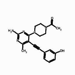 CC(=O)N1CCN(c2nc(N)nc(C)c2C#Cc2cccc(O)c2)CC1